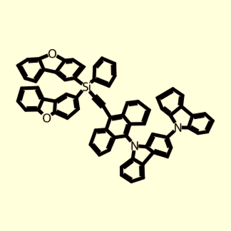 C(#C[Si](c1ccccc1)(c1ccc2oc3ccccc3c2c1)c1ccc2oc3ccccc3c2c1)c1c2ccccc2c(-n2c3ccccc3c3ccc(-n4c5ccccc5c5ccccc54)cc32)c2ccccc12